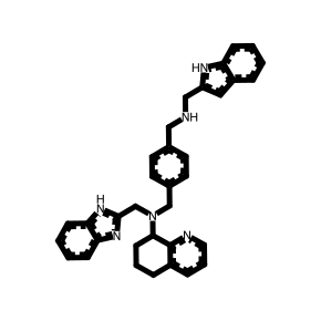 c1cnc2c(c1)CCCC2N(Cc1ccc(CNCc2cc3ccccc3[nH]2)cc1)Cc1nc2ccccc2[nH]1